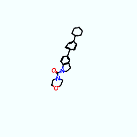 O=C(N1CCOCC1)N1CCc2cc(-c3ccc(C4CCCCC4)cc3)ccc21